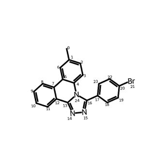 Cc1ccc2c(c1)c1ccccc1c1nnc(-c3ccc(Br)cc3)n21